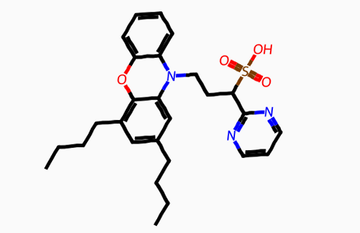 CCCCc1cc(CCCC)c2c(c1)N(CCC(c1ncccn1)S(=O)(=O)O)c1ccccc1O2